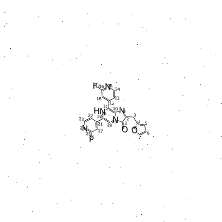 O=c1c(Cc2ccco2)nc2c(-c3ccnc(F)c3)[nH]c(-c3ccnc(F)c3)cn1-2